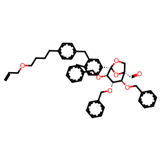 C=CCOCCCCc1ccc(Cc2cc([C@]34OC[C@](C=O)(O3)[C@@H](OCc3ccccc3)[C@H](OCc3ccccc3)[C@H]4OCc3ccccc3)ccc2C)cc1